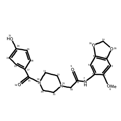 COc1cc2c(cc1NC(=O)CN1CCN(C(=O)c3ccc(O)cc3)CC1)OCO2